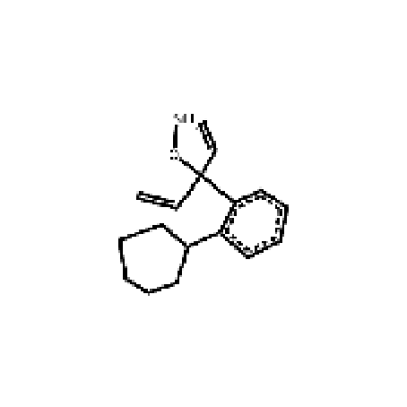 C=CC(C=C)(O[SiH3])c1ccccc1C1CCCCC1